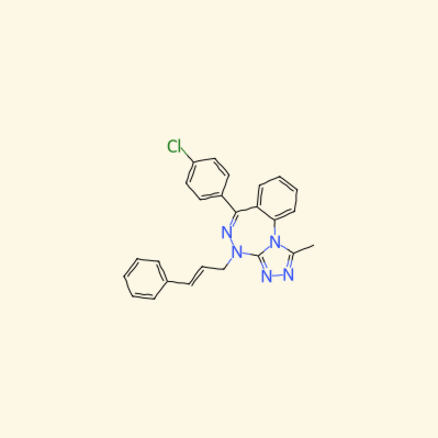 Cc1nnc2n1-c1ccccc1C(c1ccc(Cl)cc1)=NN2C/C=C/c1ccccc1